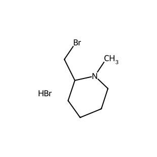 Br.CN1CCCCC1CBr